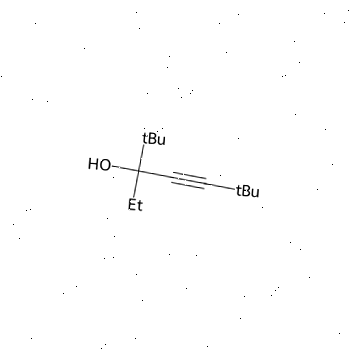 CCC(O)(C#CC(C)(C)C)C(C)(C)C